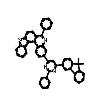 CC1(C)c2ccccc2-c2cc(-c3cc(-c4ccc5c(c4)nc(-c4ccccc4)c4ccc6sc7ccccc7c6c45)nc(-c4ccccc4)n3)ccc21